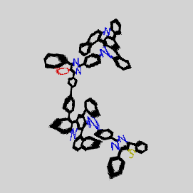 c1ccc(-c2nc(-c3ccc(-n4c5ccccc5c5cc6c7c(-c8ccc(-c9ccc(-c%10nc(-c%11ccc(-n%12c%13ccccc%13c%13cc%14c%15ccccc%15n%15c%16ccc%17ccccc%17c%16c(c%13%12)c%14%15)cc%11)nc%11c%10oc%10ccccc%10%11)cc9)cc8)cccc7n7c8ccc9ccccc9c8c(c54)c67)cc3)nc3c2sc2ccccc23)cc1